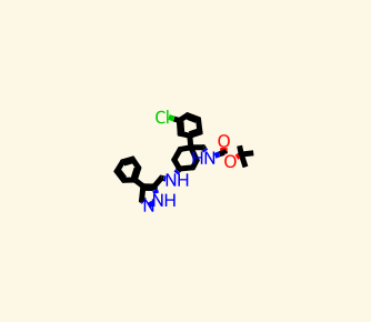 CC(C)(C)OC(=O)NCC1(c2cccc(Cl)c2)CCC(NCc2[nH]ncc2-c2ccccc2)CC1